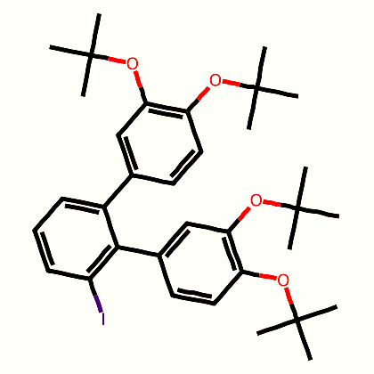 CC(C)(C)Oc1ccc(-c2cccc(I)c2-c2ccc(OC(C)(C)C)c(OC(C)(C)C)c2)cc1OC(C)(C)C